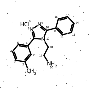 Cl.[CH2]c1cccc(-c2nnc(-c3ccccc3)n2CCN)c1